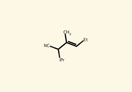 CC/C=C(\C)C(C#N)C(C)C